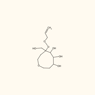 C=CCOOC1(CO)CCOCCC(O)C(O)C1O